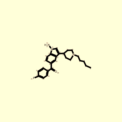 CCCCCN1CCC(c2cn(N)c3ccc(C(=O)c4ccc(F)cc4)cc23)CC1